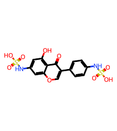 O=c1c(-c2ccc(NS(=O)(=O)O)cc2)coc2cc(NS(=O)(=O)O)cc(O)c12